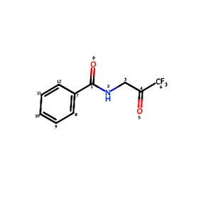 O=C(NCC(=O)C(F)(F)F)c1ccccc1